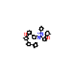 c1ccc(-c2cccc(-c3ccc4oc5cccc(-c6cccc(-c7nc(-c8ccccc8)nc(-c8cccc9oc%10ccccc%10c89)n7)c6)c5c4c3)c2)cc1